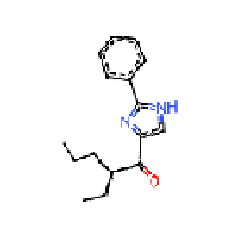 CCCC(CC)C(=O)c1c[nH]c(-c2ccccc2)n1